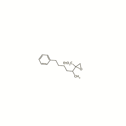 CCOC(=O)C1(C(C)CCCCc2ccccc2)CO1